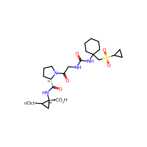 CCCCCCCCC1C[C@]1(NC(=O)[C@@H]1CCCN1C(=O)CNC(=O)NC1(CS(=O)(=O)C2CC2)CCCCC1)C(=O)O